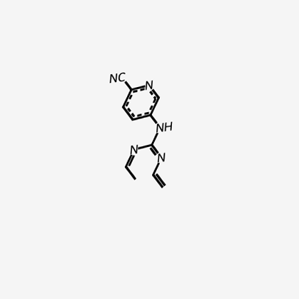 C=C/N=C(\N=C/C)Nc1ccc(C#N)nc1